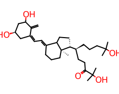 C=C1/C(=C\C=C2CCC[C@@]3(C)C2CC[C@@H]3[C@@H](CCCC(C)(C)O)CCC(=O)C(C)(C)O)C[C@@H](O)CC1O